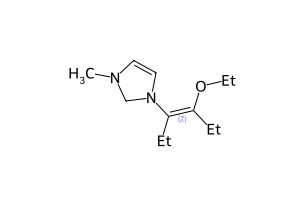 CCO/C(CC)=C(/CC)N1C=CN(C)C1